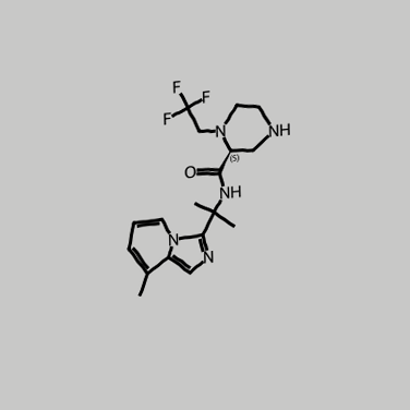 Cc1cccn2c(C(C)(C)NC(=O)[C@@H]3CNCCN3CC(F)(F)F)ncc12